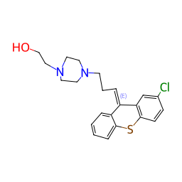 OCCN1CCN(CC/C=C2\c3ccccc3Sc3ccc(Cl)cc32)CC1